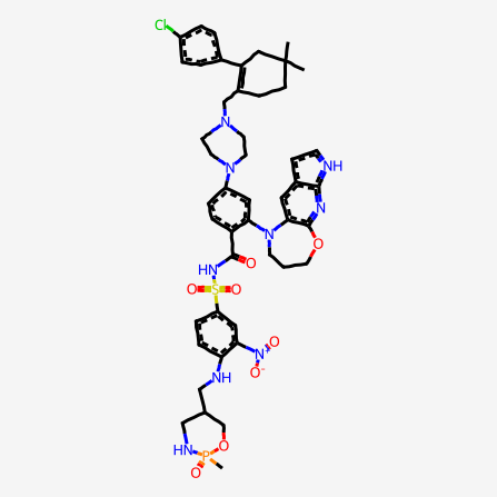 CC1(C)CCC(CN2CCN(c3ccc(C(=O)NS(=O)(=O)c4ccc(NCC5CNP(C)(=O)OC5)c([N+](=O)[O-])c4)c(N4CCCOc5nc6[nH]ccc6cc54)c3)CC2)=C(c2ccc(Cl)cc2)C1